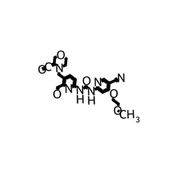 COCCOc1cc(NC(=O)Nc2ccc(CN3CCOCC3=C=O)c(C=O)n2)ncc1C#N